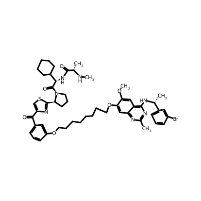 CN[C@@H](C)C(=O)N[C@H](C(=O)N1CCC[C@H]1c1nc(C(=O)c2cccc(OCCCCCCCCOc3cc4nc(C)nc(N[C@H](C)c5cccc(Br)c5)c4cc3OC)c2)cs1)C1CCCCC1